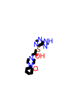 COc1ccccc1N1CCN(CC(O)CSc2ncnc3[nH]cnc23)CC1